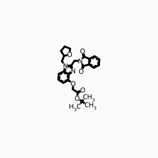 CC(C)(C)OC(=O)COc1cccc2c1nc(CN1C(=O)c3ccccc3C1=O)n2CC1CCCO1